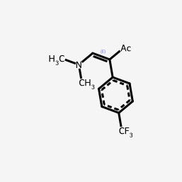 CC(=O)/C(=C/N(C)C)c1ccc(C(F)(F)F)cc1